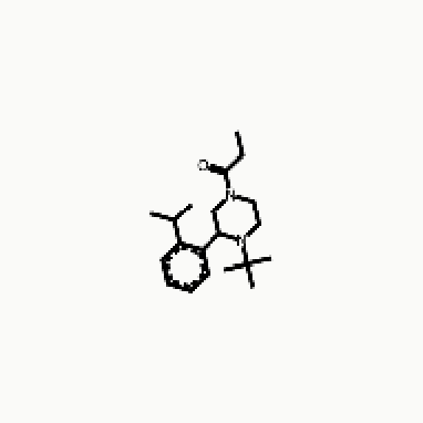 CCC(=O)N1CCN(C(C)(C)C)C(c2ccccc2C(C)C)C1